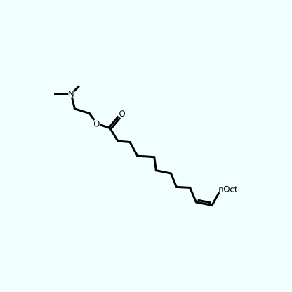 CCCCCCCC/C=C\CCCCCCCCC(=O)OCCN(C)C